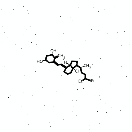 C=C1/C(=C\C=C2/CCC[C@]3(C)C([C@H](C)CCC(CC)C(C)C)CC[C@@H]23)C[C@@H](O)C[C@@H]1O